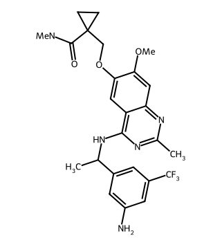 CNC(=O)C1(COc2cc3c(NC(C)c4cc(N)cc(C(F)(F)F)c4)nc(C)nc3cc2OC)CC1